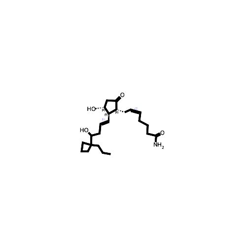 CCCC1(C(O)C/C=C/[C@H]2[C@H](O)CC(=O)[C@@H]2C/C=C\CCCC(N)=O)CCC1